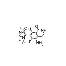 Cc1nnn(C)c1-c1c(Cl)c2c(c(N)c1I)CCNC2=O